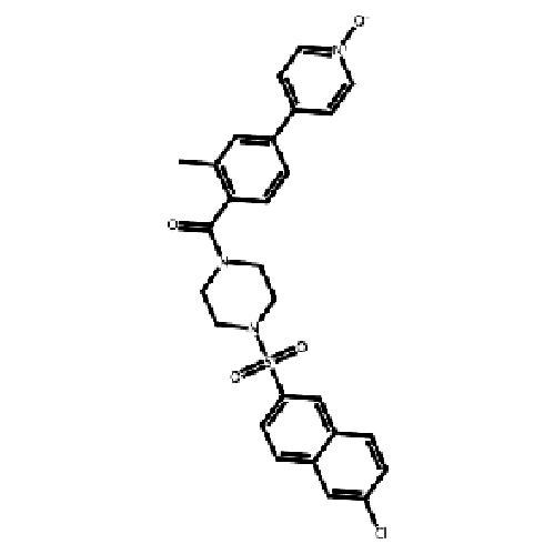 Cc1cc(-c2cc[n+]([O-])cc2)ccc1C(=O)N1CCN(S(=O)(=O)c2ccc3cc(Cl)ccc3c2)CC1